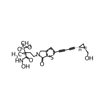 C[C@@](CCN1Cc2cc(C#CC#C[C@@H]3C[C@H]3CO)sc2C1=O)(C(=O)NO)S(C)(=O)=O